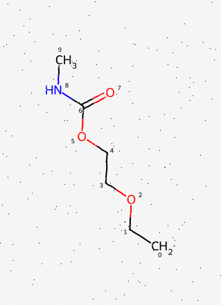 [CH2]COCCOC(=O)NC